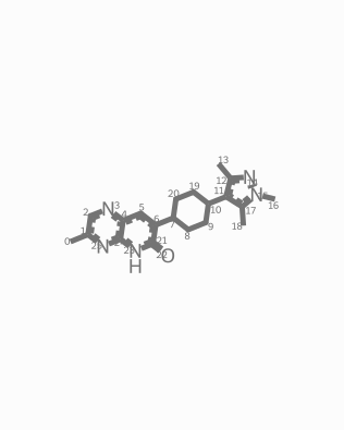 Cc1cnc2cc(C3CCC(c4c(C)nn(C)c4C)CC3)c(=O)[nH]c2n1